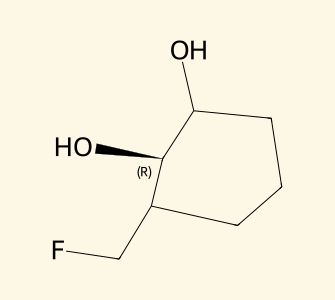 OC1CCCC(CF)[C@H]1O